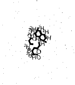 [2H]O[C@@H]1CC(CC[C@@H]2[C@@H]3C(=C([2H])[C@]([2H])(C)C([2H])([2H])[C@@H]3OC(=O)[C@@H](C)CC)C([2H])=C([2H])[C@]2([2H])C)OC(=O)C1([2H])[2H]